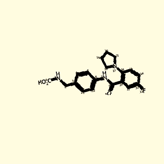 O=C(O)NCc1ccc(NC(=O)c2cc(F)ccc2N2CCCC2)cc1